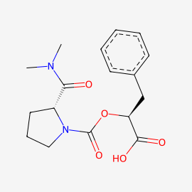 CN(C)C(=O)[C@H]1CCCN1C(=O)O[C@@H](Cc1ccccc1)C(=O)O